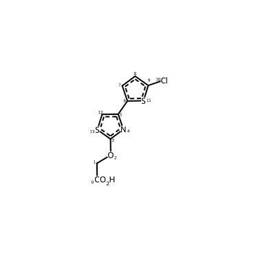 O=C(O)COc1nc(-c2ccc(Cl)s2)cs1